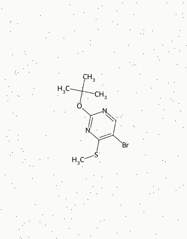 CSc1nc(OC(C)(C)C)ncc1Br